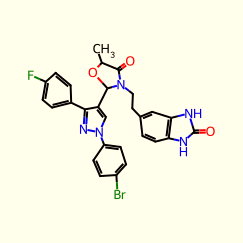 CC1OC(c2cn(-c3ccc(Br)cc3)nc2-c2ccc(F)cc2)N(CCc2ccc3[nH]c(=O)[nH]c3c2)C1=O